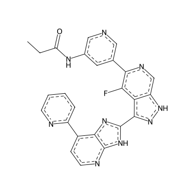 CCC(=O)Nc1cncc(-c2ncc3[nH]nc(-c4nc5c(-c6ccccn6)ccnc5[nH]4)c3c2F)c1